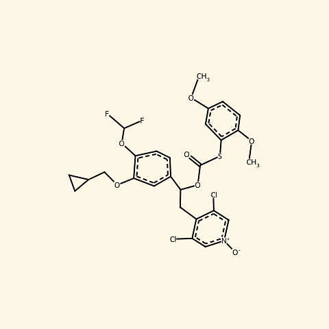 COc1ccc(OC)c(SC(=O)OC(Cc2c(Cl)c[n+]([O-])cc2Cl)c2ccc(OC(F)F)c(OCC3CC3)c2)c1